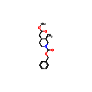 C[C@H]1CN(C(=O)OCc2ccccc2)CC[C@H]1CC(=O)OC(C)(C)C